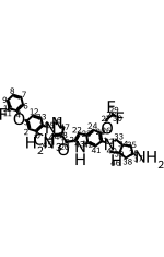 Cc1cc(Oc2ccccc2F)ccc1-n1ncc(C(=O)c2cc3cc(OCC(F)F)c(N4CC5C[C@@H](N)C[C@H]5C4)cc3[nH]2)c1N